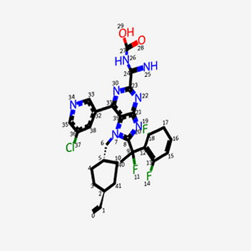 C=C[C@H]1CC[C@H](Cn2c(C(C)(F)C3=C(F)C=CCC3F)nc3nc(C(=N)NC(=O)O)nc(-c4cncc(Cl)c4)c32)CC1